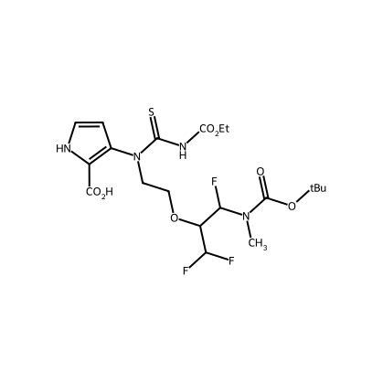 CCOC(=O)NC(=S)N(CCOC(C(F)F)C(F)N(C)C(=O)OC(C)(C)C)c1cc[nH]c1C(=O)O